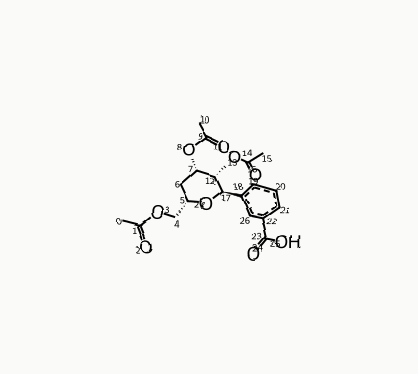 CC(=O)OC[C@@H]1C[C@H](OC(C)=O)[C@H](OC(C)=O)[C@@H](c2cccc(C(=O)O)c2)O1